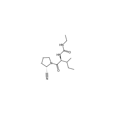 CCNC(=O)N[C@H](C(=O)N1C[CH][CH][C@H]1C#N)C(C)CC